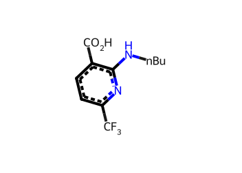 CCCCNc1nc(C(F)(F)F)ccc1C(=O)O